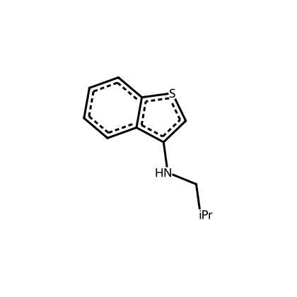 CC(C)CNc1csc2ccccc12